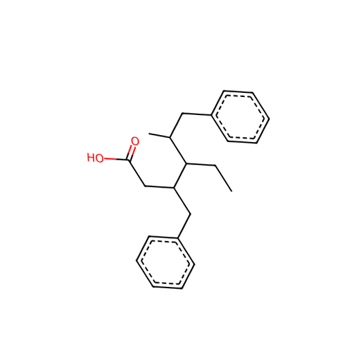 CCC(C(C)Cc1ccccc1)C(CC(=O)O)Cc1ccccc1